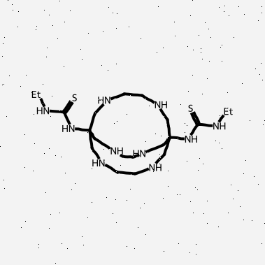 CCNC(=S)NC12CNCCNCC(NC(=S)NCC)(CNCCNC1)CNCCNC2